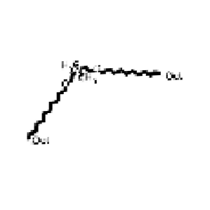 CCCCCCCCC=CCCCCCCCCOCC[N+](C)(C)CCOCCCCCCCCC=CCCCCCCCC